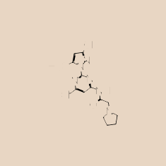 Cc1cc(C)n(-c2nc(Cl)cc(NC(=O)CN3CCCC3)n2)n1